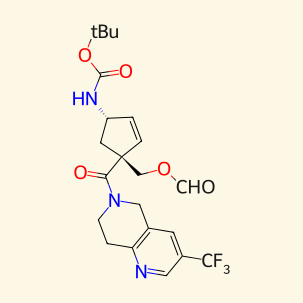 CC(C)(C)OC(=O)N[C@@H]1C=C[C@](COC=O)(C(=O)N2CCc3ncc(C(F)(F)F)cc3C2)C1